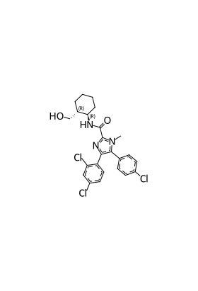 Cn1c(C(=O)N[C@@H]2CCCC[C@H]2CO)nc(-c2ccc(Cl)cc2Cl)c1-c1ccc(Cl)cc1